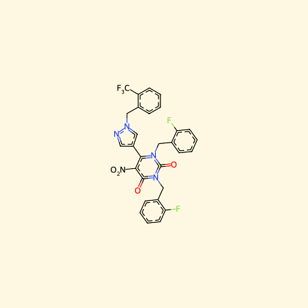 O=c1c([N+](=O)[O-])c(-c2cnn(Cc3ccccc3C(F)(F)F)c2)n(Cc2ccccc2F)c(=O)n1Cc1ccccc1F